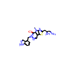 Cn1c2nc(CC(=N)C=N)sc2c2cnn(Cc3cccc4[nH]ncc34)c(=O)c21